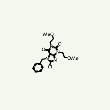 COCCn1c(=O)c2c(nc(Cl)n2Cc2ccccc2)n(CCOC)c1=O